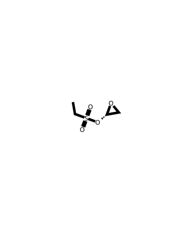 CCS(=O)(=O)O[C@H]1CO1